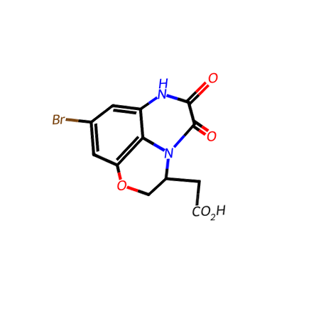 O=C(O)CC1COc2cc(Br)cc3[nH]c(=O)c(=O)n1c23